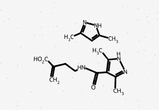 C=C(CCNC(=O)c1c(C)n[nH]c1C)C(=O)O.Cc1cc(C)[nH]n1